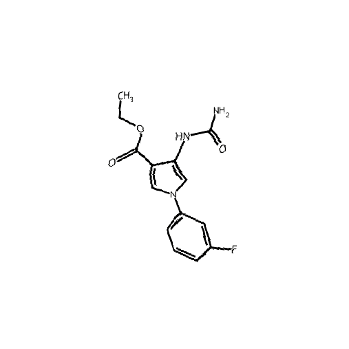 CCOC(=O)c1cn(-c2cccc(F)c2)cc1NC(N)=O